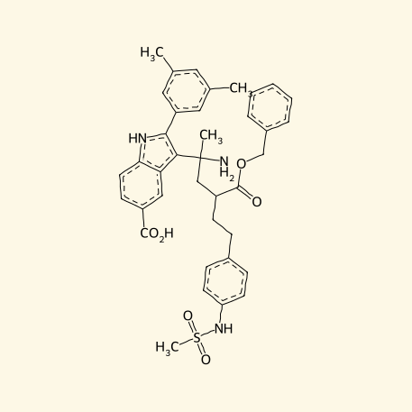 Cc1cc(C)cc(-c2[nH]c3ccc(C(=O)O)cc3c2C(C)(N)CC(CCc2ccc(NS(C)(=O)=O)cc2)C(=O)OCc2ccccc2)c1